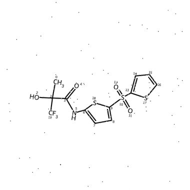 CC(O)(C(=O)Nc1ccc(S(=O)(=O)c2cccs2)s1)C(F)(F)F